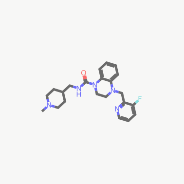 CN1CCC(CNC(=O)N2CCN(Cc3ncccc3F)c3ccccc32)CC1